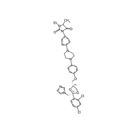 CCN1C(=O)N(c2ccc(N3CCN(c4ccc(OC[C@@H]5CO[C@@](Cn6ccnc6)(c6ccc(Cl)cc6Cl)O5)cc4)CC3)cc2)C(=O)C1C